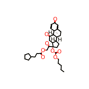 CCCCCOC(=O)O[C@]1(C(=O)COC(=O)CCC2CCCC2)CC[C@H]2[C@@H]3CCC4=CC(=O)C=C[C@]4(C)[C@H]3C(=O)C[C@@]21C